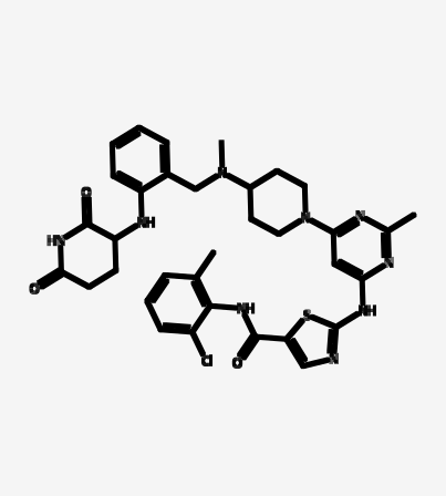 Cc1nc(Nc2ncc(C(=O)Nc3c(C)cccc3Cl)s2)cc(N2CCC(N(C)Cc3ccccc3NC3CCC(=O)NC3=O)CC2)n1